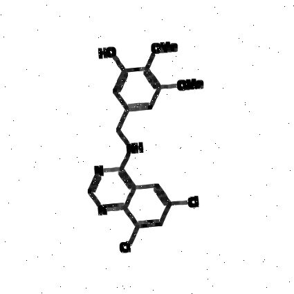 COc1cc(CNc2ncnc3c(Cl)cc(Cl)cc23)cc(O)c1OC